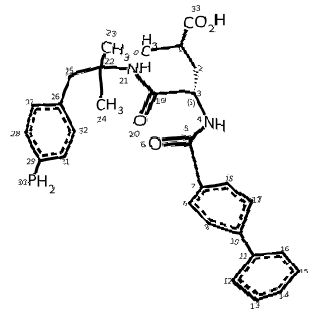 CC(C[C@H](NC(=O)c1ccc(-c2ccccc2)cc1)C(=O)NC(C)(C)Cc1ccc(P)cc1)C(=O)O